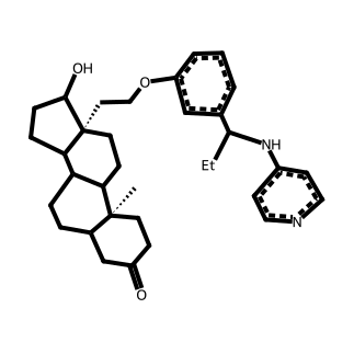 CCC(Nc1ccncc1)c1cccc(OCC[C@]23CCC4C(CCC5CC(=O)CC[C@@]54C)C2CCC3O)c1